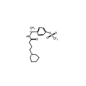 C[C@@H](NC(=O)CCCN1CCCCC1)c1ccc(OS(=O)(=O)C(F)(F)F)cc1